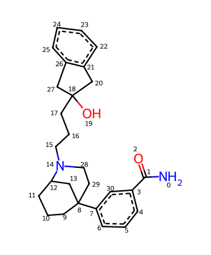 NC(=O)c1cccc(C23CCCC(C2)N(CCCC2(O)Cc4ccccc4C2)CC3)c1